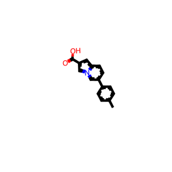 Cc1ccc(-c2ccc3cc(C(=O)O)cn3c2)cc1